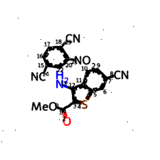 COC(=O)c1sc2cc(C#N)ccc2c1N.N#Cc1ccc(C#N)c([N+](=O)[O-])c1